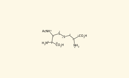 CC(=O)NC(SSCC(N)C(=O)O)C(N)C(=O)O